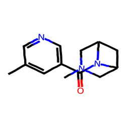 Cc1cncc(C(=O)N2C3CC2CN(C)C3)c1